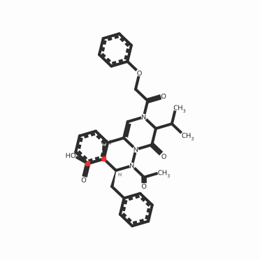 CC(=O)N([C@@H](Cc1ccccc1)C(O)C(=O)O)N1C(=O)C(C(C)C)N(C(=O)COc2ccccc2)C=C1c1ccccc1